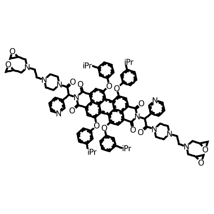 CC(C)c1cccc(Oc2cc3c4c(cc(Oc5cccc(C(C)C)c5)c5c6c(Oc7cccc(C(C)C)c7)cc7c8c(cc(Oc9cccc(C(C)C)c9)c(c2c45)c86)C(=O)N(C(C(=O)N2CCN(CCN(CC4CO4)CC4CO4)CC2)c2cccnc2)C7=O)C(=O)N(C(C(=O)N2CCN(CCN(CC4CO4)CC4CO4)CC2)c2cccnc2)C3=O)c1